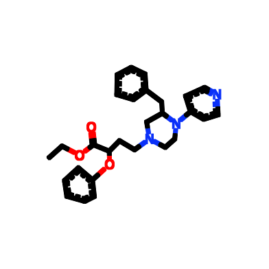 CCOC(=O)C(CCN1CCN(c2ccncc2)C(Cc2ccccc2)C1)Oc1ccccc1